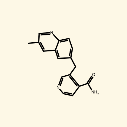 Cc1cnc2ccc(Cc3cnccc3C(N)=O)cc2c1